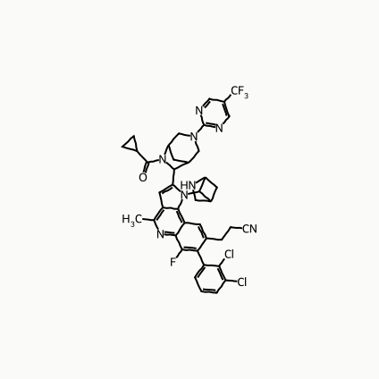 Cc1nc2c(F)c(-c3cccc(Cl)c3Cl)c(CCC#N)cc2c2c1cc(C1C3CC(CN(c4ncc(C(F)(F)F)cn4)C3)N1C(=O)C1CC1)n2C1C2CNC1C2